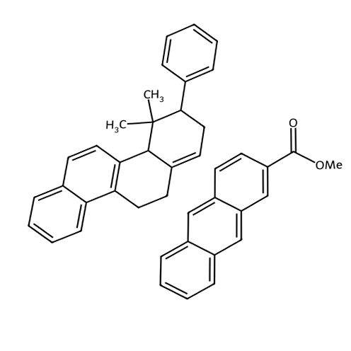 CC1(C)C(c2ccccc2)CC=C2CCc3c(ccc4ccccc34)C21.COC(=O)c1ccc2cc3ccccc3cc2c1